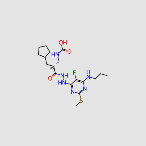 CCCNc1nc(SC)nc(NNC(=O)[C@@H](CNC(=O)O)CC2CCCC2)c1F